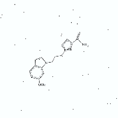 COc1ccc2c(c1)N(CCCn1c[c]c(C(N)=O)n1)CC2